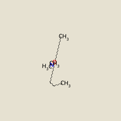 CCCCC/C=C\C/C=C\CCCCCCCCCC(COCCCCCCCCCCCCCCCC)N(C)C